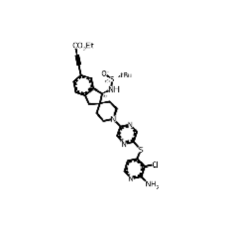 CCOC(=O)C#Cc1ccc2c(c1)[C@@H](N[S@+]([O-])C(C)(C)C)C1(CCN(c3cnc(Sc4ccnc(N)c4Cl)cn3)CC1)C2